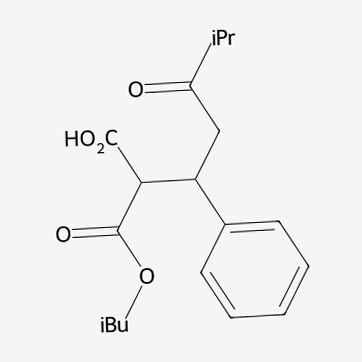 CCC(C)OC(=O)C(C(=O)O)C(CC(=O)C(C)C)c1ccccc1